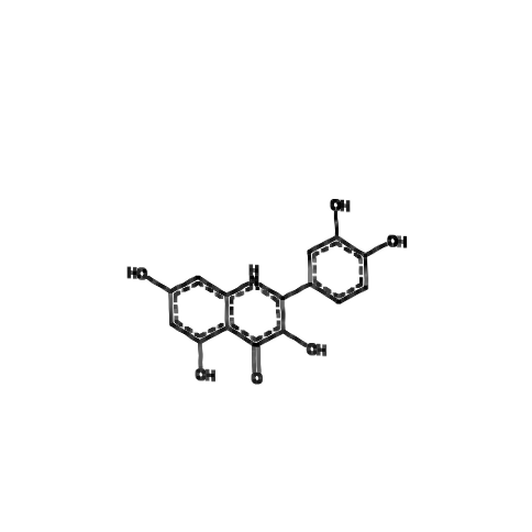 O=c1c(O)c(-c2ccc(O)c(O)c2)[nH]c2cc(O)cc(O)c12